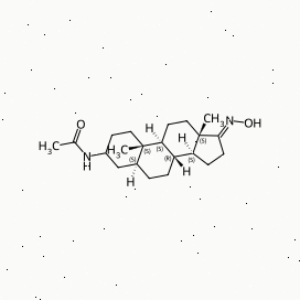 CC(=O)NC1CC[C@@]2(C)[C@@H](CC[C@@H]3[C@@H]2CC[C@]2(C)C(=NO)CC[C@@H]32)C1